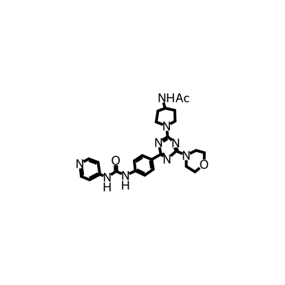 CC(=O)NC1CCN(c2nc(-c3ccc(NC(=O)Nc4ccncc4)cc3)nc(N3CCOCC3)n2)CC1